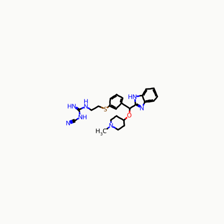 CN1CCC(OC(c2cccc(SCCNC(=N)NC#N)c2)c2nc3ccccc3[nH]2)CC1